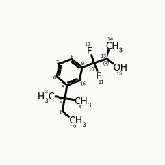 CCC(C)(C)c1cccc(C(F)(F)[C@@H](C)O)c1